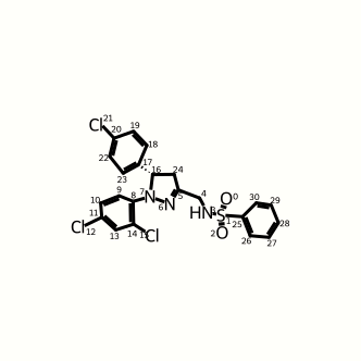 O=S(=O)(NCC1=NN(c2ccc(Cl)cc2Cl)[C@H](c2ccc(Cl)cc2)C1)c1ccccc1